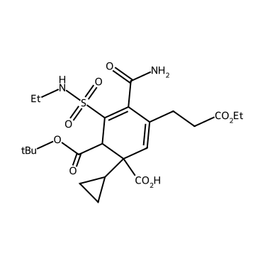 CCNS(=O)(=O)C1=C(C(N)=O)C(CCC(=O)OCC)=CC(C(=O)O)(C2CC2)C1C(=O)OC(C)(C)C